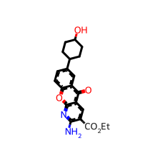 CCOC(=O)c1cc2c(=O)c3cc(C4CCC(O)CC4)ccc3oc2nc1N